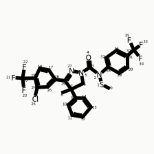 CSN(C(=O)N1CC(C)(c2ccccc2)C(c2ccc(C(F)(F)F)c(Cl)c2)=N1)c1ccc(C(F)(F)F)cc1